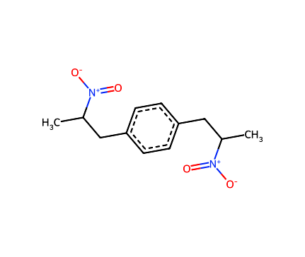 CC(Cc1ccc(CC(C)[N+](=O)[O-])cc1)[N+](=O)[O-]